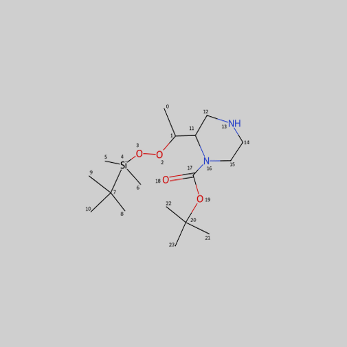 CC(OO[Si](C)(C)C(C)(C)C)C1CNCCN1C(=O)OC(C)(C)C